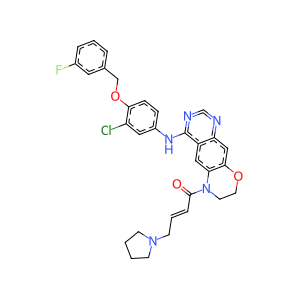 O=C(/C=C/CN1CCCC1)N1CCOc2cc3ncnc(Nc4ccc(OCc5cccc(F)c5)c(Cl)c4)c3cc21